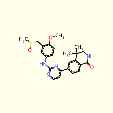 COc1ccc(Nc2nccc(-c3ccc4c(c3)C(C)(C)CNC4=O)n2)cc1C[S+](C)[O-]